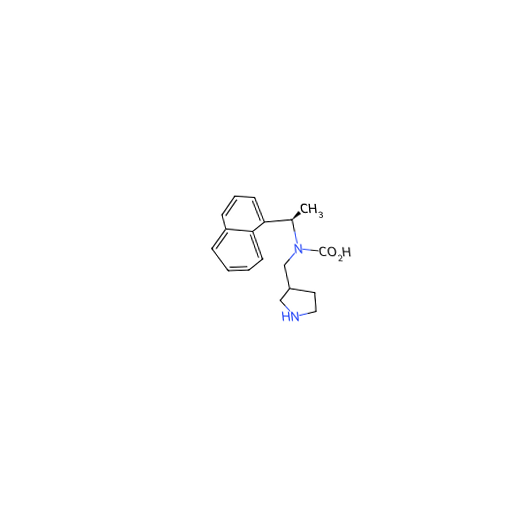 C[C@H](c1cccc2ccccc12)N(CC1CCNC1)C(=O)O